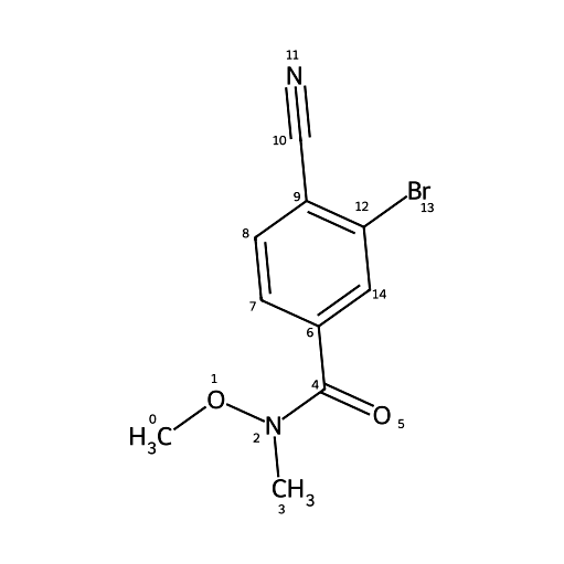 CON(C)C(=O)c1ccc(C#N)c(Br)c1